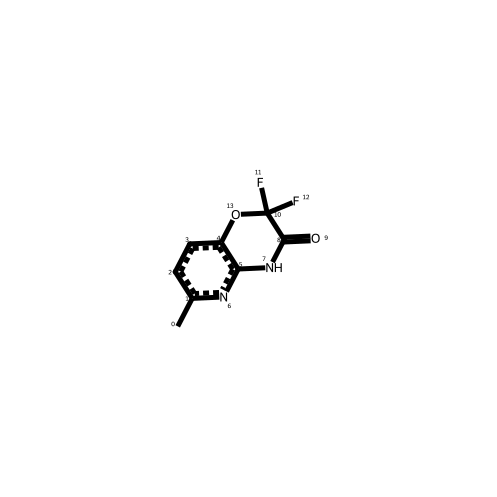 Cc1ccc2c(n1)NC(=O)C(F)(F)O2